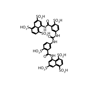 O=C(Nc1ccc(S(=O)(=O)O)c(C(=O)Nc2cc(S(=O)(=O)O)cc3c(S(=O)(=O)O)ccc(S(=O)(=O)O)c23)c1)Nc1ccc(S(=O)(=O)O)c(C(=O)Nc2cc(S(=O)(=O)O)cc3c(S(=O)(=O)O)ccc(S(=O)(=O)O)c23)c1